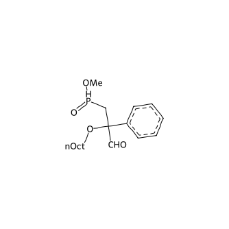 CCCCCCCCOC(C=O)(C[PH](=O)OC)c1ccccc1